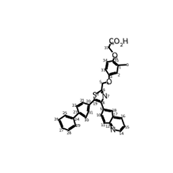 Cc1cc(OCc2nc(-c3ccc4ncccc4c3)c(-c3ccc(-c4ccccc4)cc3)s2)ccc1OCC(=O)O